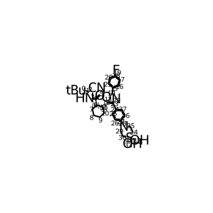 CC(C)(C)C(C#N)NC(=O)[C@@H]1CCCC[C@H]1c1oc(-c2ccc(F)cc2)nc1-c1ccc(N2CCS(O)(O)CC2)cc1